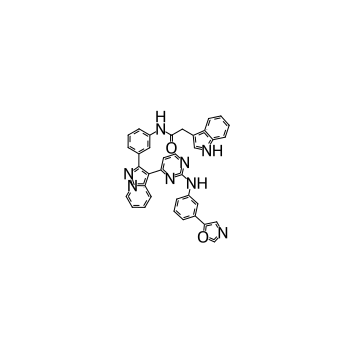 O=C(Cc1c[nH]c2ccccc12)Nc1cccc(-c2nn3ccccc3c2-c2ccnc(Nc3cccc(-c4cnco4)c3)n2)c1